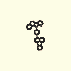 c1ccc2c(c1)-c1cccc3c(-c4ccc(-n5c6ncccc6c6ccc7ccccc7c65)cc4)ccc-2c13